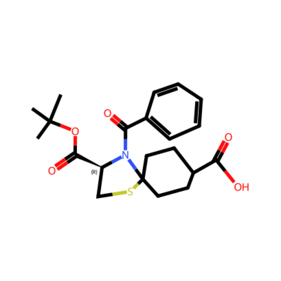 CC(C)(C)OC(=O)[C@@H]1CSC2(CCC(C(=O)O)CC2)N1C(=O)c1ccccc1